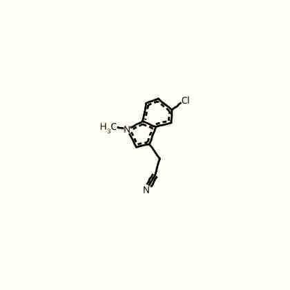 Cn1cc(CC#N)c2cc(Cl)ccc21